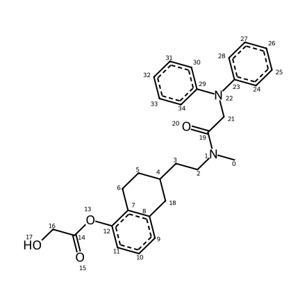 CN(CCC1CCc2c(cccc2OC(=O)CO)C1)C(=O)CN(c1ccccc1)c1ccccc1